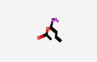 C=CC=CP.CC(=O)O